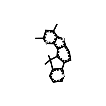 Cc1cc(C)c2oc3ccc4c(c3c2n1)C(C)(C)c1cccnc1-4